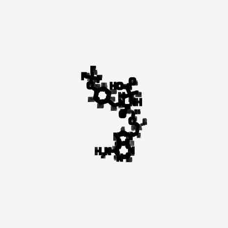 C[C@H](Cn1cnc2c(N)ncnc21)OC[P@](=O)(NCc1ccc(OC(F)(F)F)cc1)NC(C)(C)C(=O)O